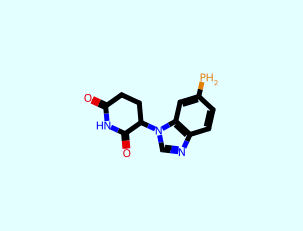 O=C1CCC(n2cnc3ccc(P)cc32)C(=O)N1